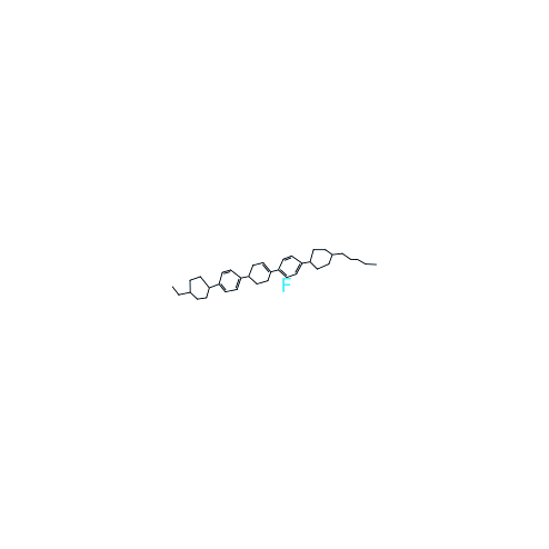 CCCCCC1CCC(c2ccc(C3=CCC(c4ccc(C5CCC(CC)CC5)cc4)CC3)c(F)c2)CC1